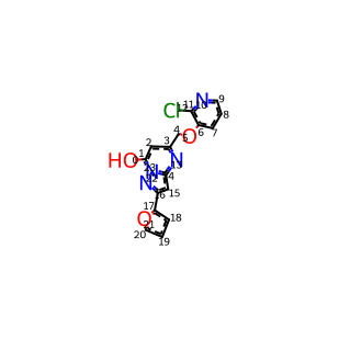 Oc1cc(COc2cccnc2Cl)nc2cc(-c3ccco3)nn12